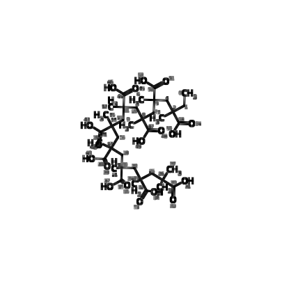 CCC(C)(CC(C)(CC(C)(CC(C)(CC(C)(CC(C)(CC(C)(CC(C)(CC(C)(C)C(=O)O)C(=O)O)C(=O)O)C(=O)O)C(=O)O)C(=O)O)C(=O)O)C(=O)O)C(=O)O